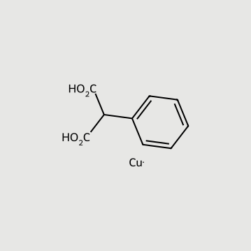 O=C(O)C(C(=O)O)c1ccccc1.[Cu]